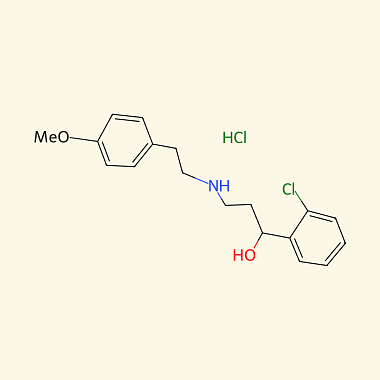 COc1ccc(CCNCCC(O)c2ccccc2Cl)cc1.Cl